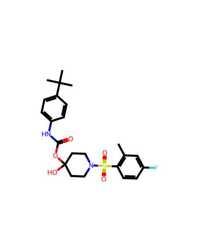 Cc1cc(F)ccc1S(=O)(=O)N1CCC(O)(OC(=O)Nc2ccc(C(C)(C)C)cc2)CC1